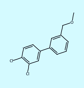 COCc1cccc(-c2c[c]c(Cl)c(Cl)c2)c1